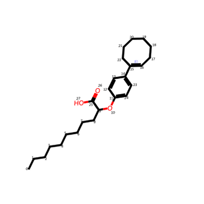 CCCCCCCCCC(Oc1ccc(/C2=C/CCCCCC2)cc1)C(=O)O